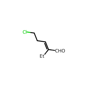 CC/C(C=O)=C\CCCl